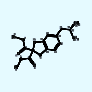 CC(C)OC(=O)C1(C(=O)OC(C)C)Oc2ccc(C[C@@H](C)N)cc2O1